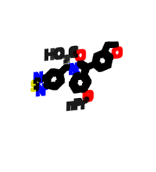 CCCOc1ccc2c(c1)c(-c1ccc3c(c1)CCO3)c(OC(=O)O)n2Cc1ccc2nsnc2c1